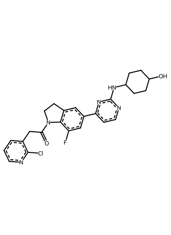 O=C(Cc1cccnc1Cl)N1CCc2cc(-c3ccnc(NC4CCC(O)CC4)n3)cc(F)c21